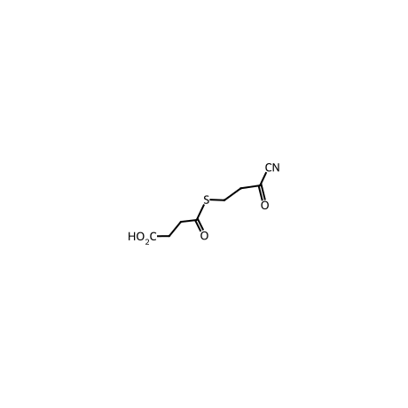 N#CC(=O)CCSC(=O)CCC(=O)O